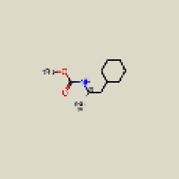 CC[C@@H](C)[C@H](CC1CCCCC1)NC(=O)OC(C)(C)C